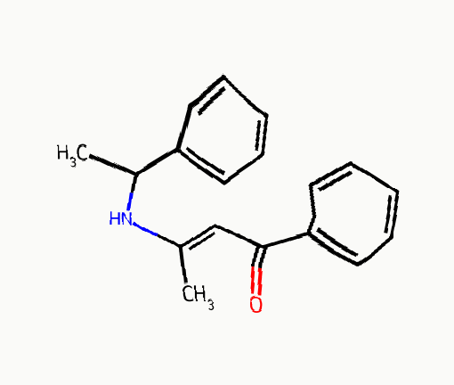 C/C(=C\C(=O)c1ccccc1)NC(C)c1ccccc1